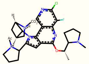 CC(=O)N1CCCC1c1cc2c(O[C@@H](C)C3CCCN3C)nc3c(F)c(Cl)ncc3c2n1[C@H]1[C@@H]2C[C@H]1N(C(=O)O)C2